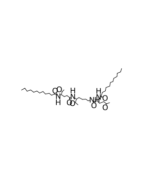 CCCCCCCCCCCC(=O)NC(CCC(=O)NC(CCCCNC(=O)C(CCC(C)=O)NC(=O)CCCCCCCCCCC)C(C)=O)C(C)=O